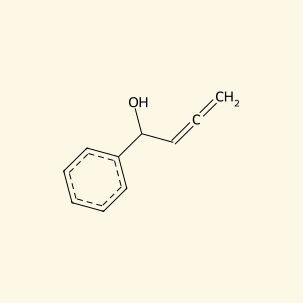 C=C=CC(O)c1ccccc1